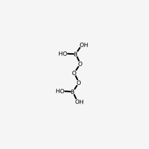 OB(O)OOOB(O)O